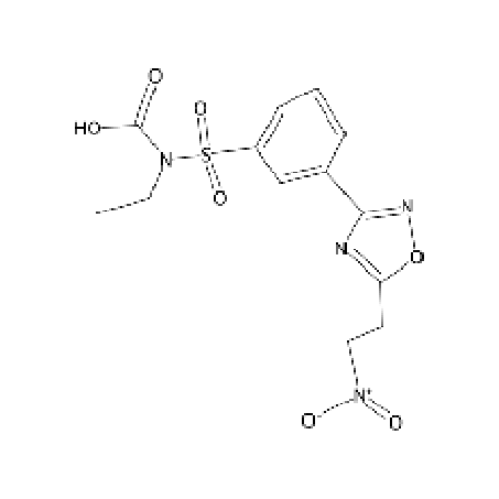 CCN(C(=O)O)S(=O)(=O)c1cccc(-c2noc(CC[N+](=O)[O-])n2)c1